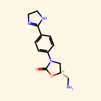 NC[C@H]1CN(c2ccc(C3=NCCN3)cc2)C(=O)O1